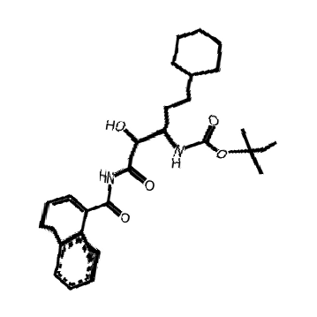 CC(C)(C)OC(=O)NC(CCC1CCCCC1)C(O)C(=O)NC(=O)C1=C=CCc2ccccc21